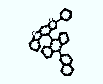 c1ccc(-c2cc3c(-c4c5ccccc5c(-c5ccc6ccccc6c5)c5ccccc45)c4c(cc3o2)oc2ccccc24)cc1